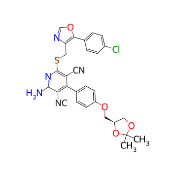 [C-]#[N+]c1c(N)nc(SCc2ncoc2-c2ccc(Cl)cc2)c(C#N)c1-c1ccc(OC[C@H]2COC(C)(C)O2)cc1